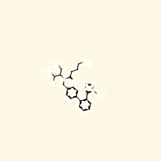 CCCCC(=O)N(Cc1ccc(-c2ccccc2-c2nnnn2C)cc1)C(CC)C(C)C